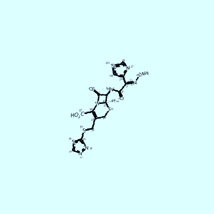 CO/N=C(/C(=O)NC1C(=O)N2C(C(=O)O)=C(CSc3nncs3)CS[C@H]12)c1cscn1